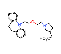 O=C(O)CC1CCN(CCOCCN2c3ccccc3CCc3ccccc32)C1